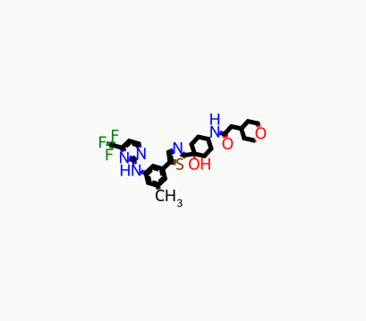 Cc1cc(Nc2nccc(C(F)(F)F)n2)cc(-c2cnc([C@]3(O)CC[C@H](NC(=O)CC4CCOCC4)CC3)s2)c1